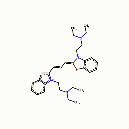 CCN(CC)CCN1/C(=C/C=C/c2sc3ccccc3[n+]2CCN(CC)CC)Sc2ccccc21